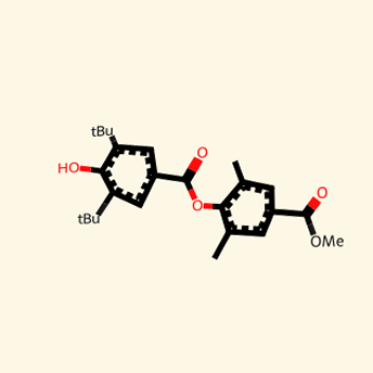 COC(=O)c1cc(C)c(OC(=O)c2cc(C(C)(C)C)c(O)c(C(C)(C)C)c2)c(C)c1